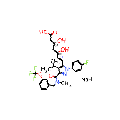 CC(C)c1c(C(=O)N(C)Cc2cccc(OC(F)(F)F)c2)nn(-c2ccc(F)cc2)c1/C=C/[C@H](O)C[C@@H](O)CC(=O)O.[NaH]